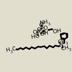 CCCCCCCCCCCCCCCC[N+](C)(C)Cc1ccccc1.N.O=P(O)(O)OP(=O)([O-])OCCO